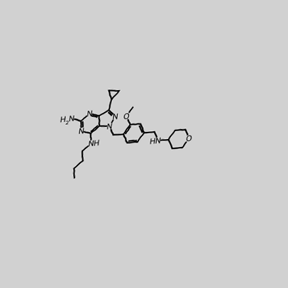 CCCCNc1nc(N)nc2c(C3CC3)nn(Cc3ccc(CNC4CCOCC4)cc3OC)c12